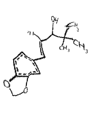 [2H]/C(=C\c1ccc2c(c1)OCO2)C(O)C(C)(C)C